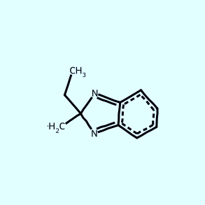 [CH2]C1(CC)N=c2ccccc2=N1